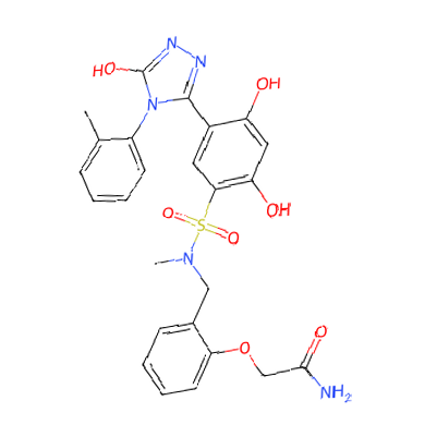 Cc1ccccc1-n1c(O)nnc1-c1cc(S(=O)(=O)N(C)Cc2ccccc2OCC(N)=O)c(O)cc1O